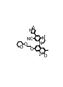 Cc1cc2c(N3CCN(C)c4cc(-c5cnn(C)c5)c(C#N)cc43)cc(OCCOC3CCCCO3)cc2n(C)c1=O